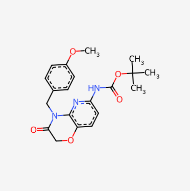 COc1ccc(CN2C(=O)COc3ccc(NC(=O)OC(C)(C)C)nc32)cc1